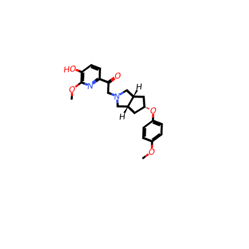 COc1ccc(O[C@@H]2C[C@@H]3CN(CC(=O)c4ccc(O)c(OC)n4)C[C@@H]3C2)cc1